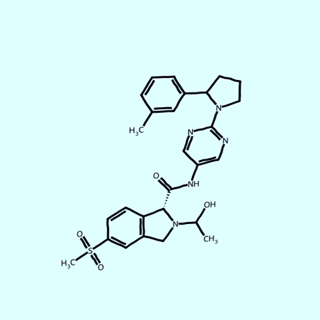 Cc1cccc(C2CCCN2c2ncc(NC(=O)[C@H]3c4ccc(S(C)(=O)=O)cc4CN3C(C)O)cn2)c1